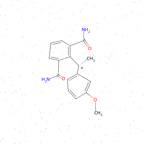 COc1cccc([C@@H](C)c2c(C(N)=O)cccc2C(N)=O)c1